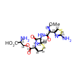 CON=C(C(=O)NC1C(=O)N2C(C(=O)OCC(N)C(=O)O)=CCS[C@@H]12)c1csc(N)n1